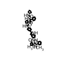 CN(C)C(C(=O)N1CCC[C@H]1C(=O)Nc1ccc2[nH]c(-c3ccc(NC(=O)[C@@H]4CCCN4C(=O)C(NC(=O)NC4CCCC4)c4ccccc4)cc3)cc2c1)c1ccccc1